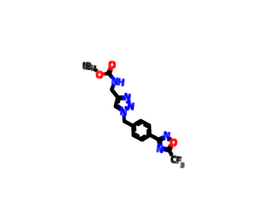 CC(C)(C)OC(=O)NCc1cn(Cc2ccc(-c3noc(C(F)(F)F)n3)cc2)nn1